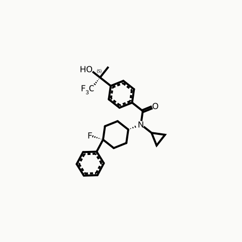 C[C@](O)(c1ccc(C(=O)N(C2CC2)[C@H]2CC[C@](F)(c3ccccc3)CC2)cc1)C(F)(F)F